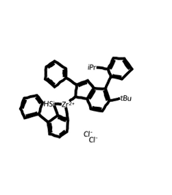 CC(C)c1ccccc1-c1c(C(C)(C)C)ccc2c1C=C(c1ccccc1)[CH]2[Zr+2]1[c]2cccc3c2[SiH]1c1ccccc1-3.[Cl-].[Cl-]